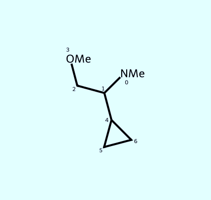 CNC(COC)C1CC1